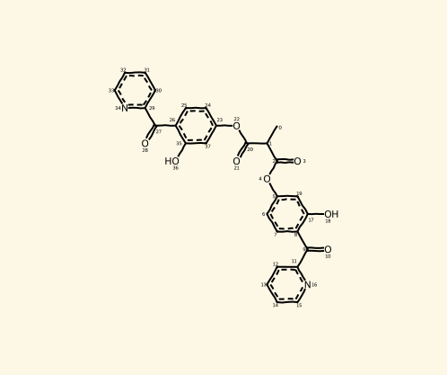 CC(C(=O)Oc1ccc(C(=O)c2ccccn2)c(O)c1)C(=O)Oc1ccc(C(=O)c2ccccn2)c(O)c1